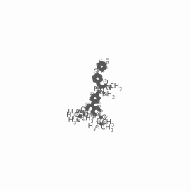 COC(=O)c1c(-c2ccc(Oc3ccc(F)cc3)cc2)nc(-c2ccc(C(CCO[Si](C)(C)C(C)(C)C)C3CCN(C(=O)OC(C)(C)C)CC3)cc2)n1N